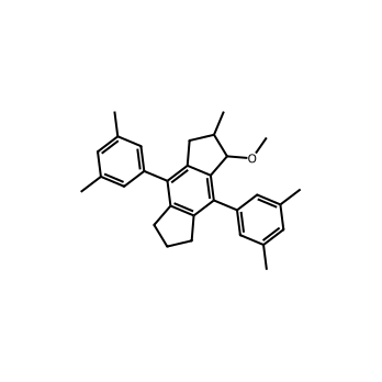 COC1c2c(c(-c3cc(C)cc(C)c3)c3c(c2-c2cc(C)cc(C)c2)CCC3)CC1C